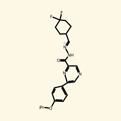 CC(C)Oc1ccc(-c2cncc(C(=O)N/N=C/C3CCC(F)(F)CC3)n2)cc1